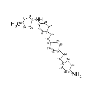 CC1CCC(NC2C=CC(CCC3C=CC(CCC4CCC(N)CC4)CC3)CC2)CC1